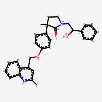 Cc1cc(COc2ccc(C3(C)CCN(CC(O)c4ccccc4)C3=O)cc2)c2ccccc2n1